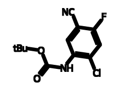 CC(C)(C)OC(=O)Nc1cc(C#N)c(F)cc1Cl